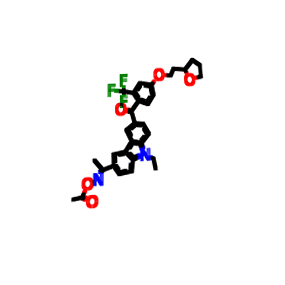 CCn1c2ccc(C(=O)c3ccc(OCCC4CCCO4)cc3C(F)(F)F)cc2c2cc(/C(C)=N/OC(C)=O)ccc21